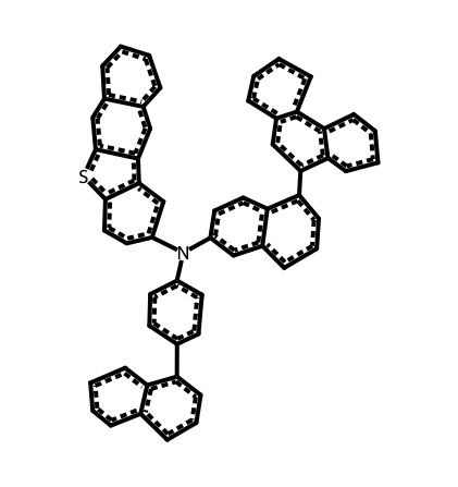 c1ccc2cc3c(cc2c1)sc1ccc(N(c2ccc(-c4cccc5ccccc45)cc2)c2ccc4c(-c5cc6ccccc6c6ccccc56)cccc4c2)cc13